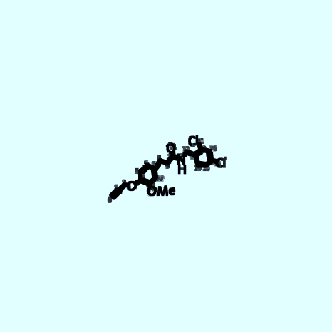 C#CCOc1ccc(CCC(=O)NCc2ccc(Cl)cc2Cl)cc1OC